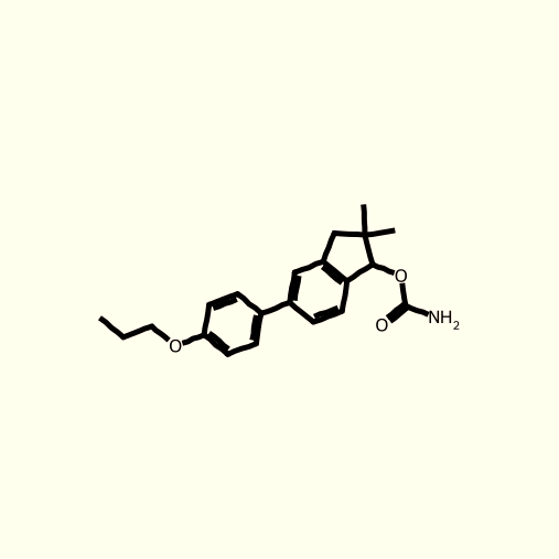 CCCOc1ccc(-c2ccc3c(c2)CC(C)(C)C3OC(N)=O)cc1